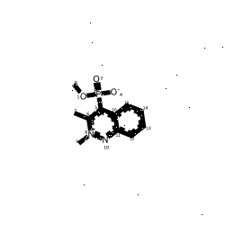 COP(=O)([O-])c1c(C)[n+](C)nc2ccccc12